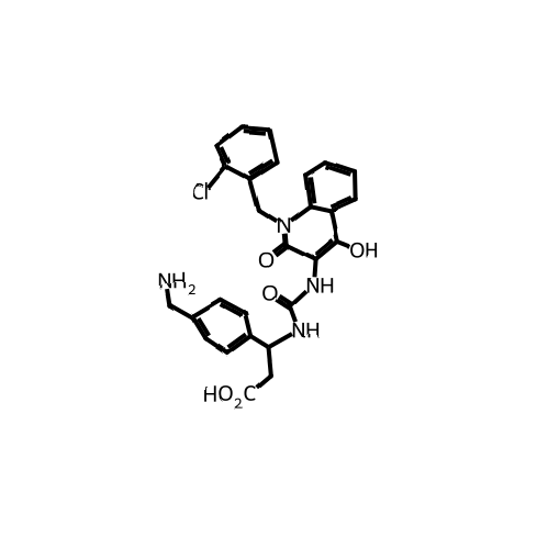 NCc1ccc(C(CC(=O)O)NC(=O)Nc2c(O)c3ccccc3n(Cc3ccccc3Cl)c2=O)cc1